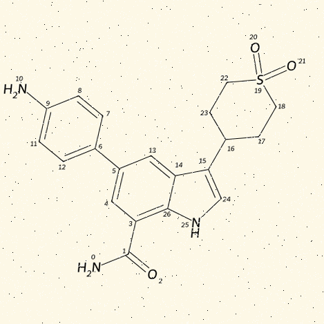 NC(=O)c1cc(-c2ccc(N)cc2)cc2c(C3CCS(=O)(=O)CC3)c[nH]c12